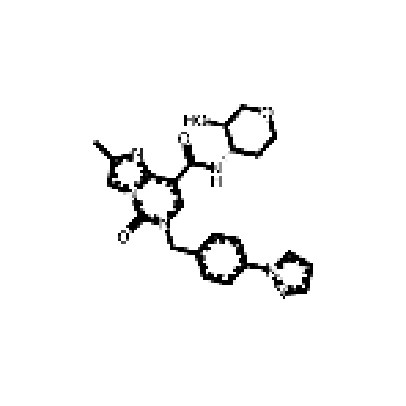 Cc1cn2c(=O)n(Cc3ccc(-n4cccn4)cc3)cc(C(=O)N[C@H]3CCOC[C@@H]3O)c2n1